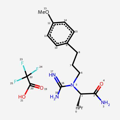 CCC[C@H](C(N)=O)N(CCCc1ccc(OC)cc1)C(=N)N.O=C(O)C(F)(F)F